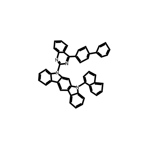 c1ccc(-c2ccc(-c3nc(-n4c5ccccc5c5cc6c7ccccc7n(-c7cccc8ccccc78)c6cc54)nc4ccccc34)cc2)cc1